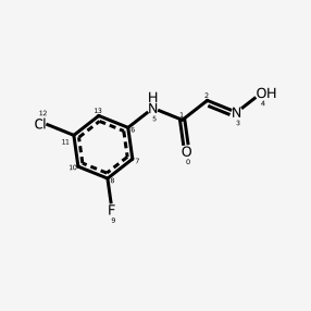 O=C(C=NO)Nc1cc(F)cc(Cl)c1